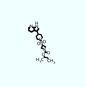 CC[C@@H](C)OC(=O)N1CC(S(=O)(=O)N2CCC(c3c[nH]c4ncccc34)CC2)C1